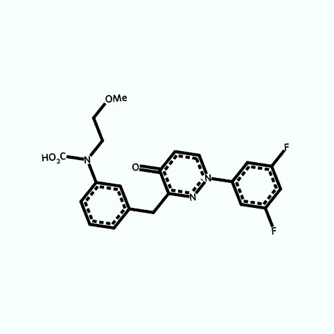 COCCN(C(=O)O)c1cccc(Cc2nn(-c3cc(F)cc(F)c3)ccc2=O)c1